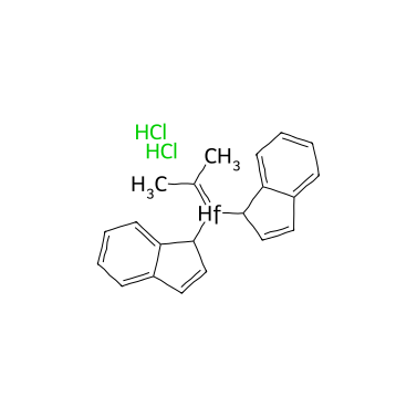 C[C](C)=[Hf]([CH]1C=Cc2ccccc21)[CH]1C=Cc2ccccc21.Cl.Cl